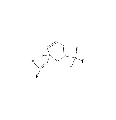 FC(F)=CC1(F)C=CC=C(C(F)(F)F)C1